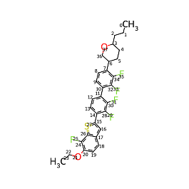 CCCC1CCC(c2ccc(-c3ccc(-c4cc5ccc(OCC)c(F)c5s4)c(F)c3F)c(F)c2F)CO1